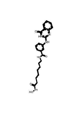 O=C(CCCCCCCNC(=O)c1cccc(Nc2nc3ccccc3c(=O)[nH]2)c1)NO